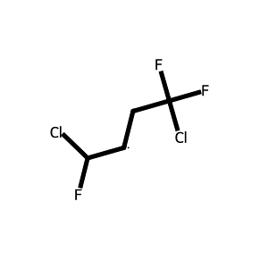 FC(Cl)[CH]CC(F)(F)Cl